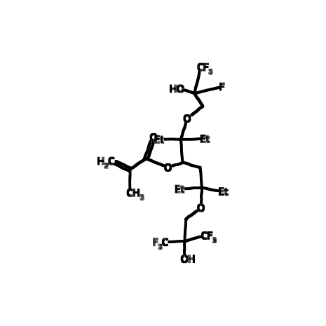 C=C(C)C(=O)OC(CC(CC)(CC)OCC(O)(C(F)(F)F)C(F)(F)F)C(CC)(CC)OCC(O)(F)C(F)(F)F